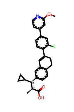 COc1cc(-c2ccc(C3=Cc4cc([C@H](C5CC5)[C@H](C)C(=O)O)ccc4CC3)c(F)c2)ccn1